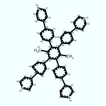 Cc1c(-c2ccc(-c3ccncc3)cc2)c(-c2ccc(-c3ccncc3)cc2)c(C)c(-c2ccc(-c3ccncc3)cc2)c1-c1ccc(-c2ccncc2)cc1